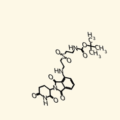 CC(C)(C)OC(=O)NCCS(=O)(=O)CCNc1cccc2c1C(=O)N(C1CCC(=O)NC1=O)C2=O